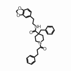 O=C(CCc1ccccc1)N1CCC(Cc2ccccc2)(C(=O)NCCc2ccc3c(c2)OCO3)CC1